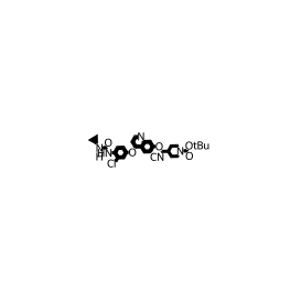 CC(C)(C)OC(=O)N1CCC(COc2cc3nccc(Oc4ccc(NC(=O)NC5CC5)c(Cl)c4)c3cc2C#N)CC1